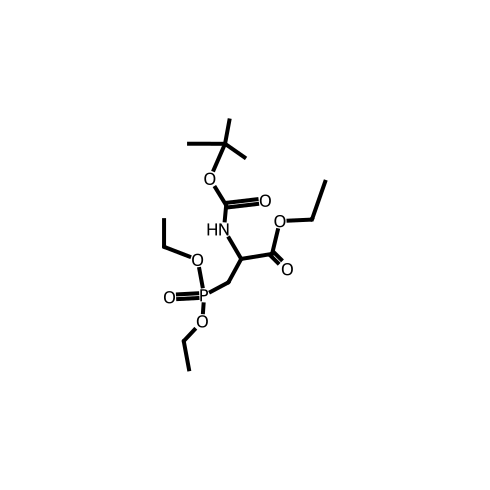 CCOC(=O)C(CP(=O)(OCC)OCC)NC(=O)OC(C)(C)C